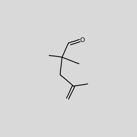 C=C(C)CC(C)(C)C=O